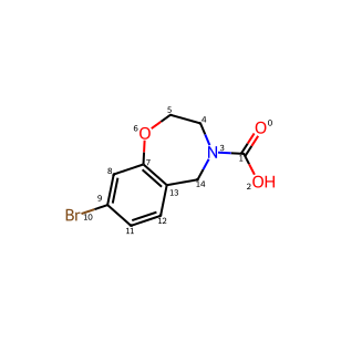 O=C(O)N1CCOc2cc(Br)ccc2C1